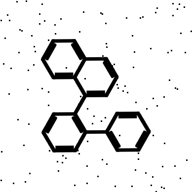 [c]1cccc(-c2cccc3ccccc23)c1-c1ccccc1